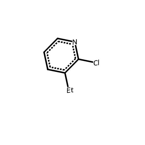 [CH2]Cc1cccnc1Cl